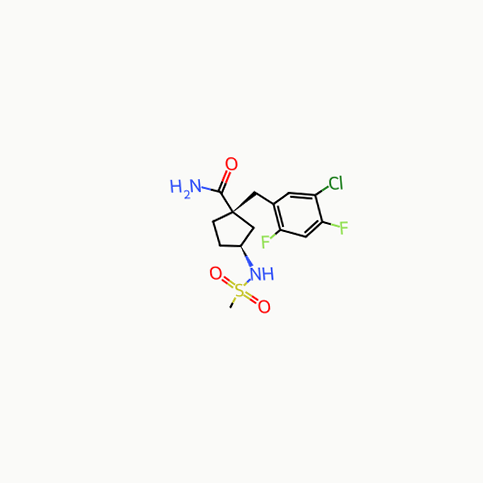 CS(=O)(=O)N[C@H]1CC[C@](Cc2cc(Cl)c(F)cc2F)(C(N)=O)C1